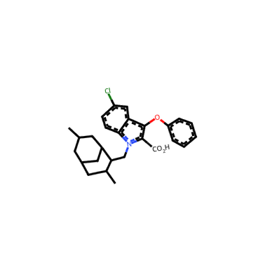 CC1CC2CC(C)C(Cn3c(C(=O)O)c(Oc4ccccc4)c4cc(Cl)ccc43)C(C1)C2